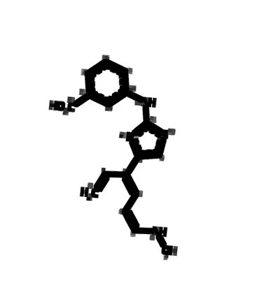 C=C/C(=C\C=C/NO)c1csc(Nc2cccc(C(=O)O)c2)n1